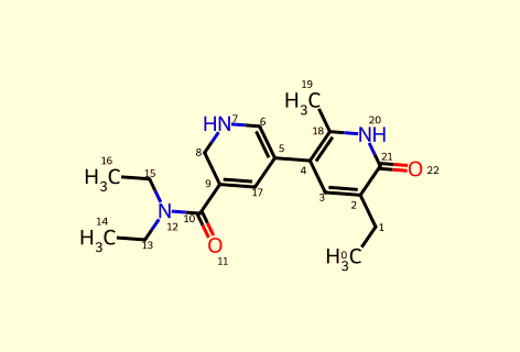 CCc1cc(C2=CNCC(C(=O)N(CC)CC)=C2)c(C)[nH]c1=O